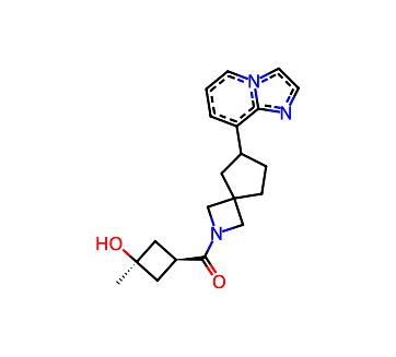 C[C@]1(O)C[C@@H](C(=O)N2CC3(CCC(c4cccn5ccnc45)C3)C2)C1